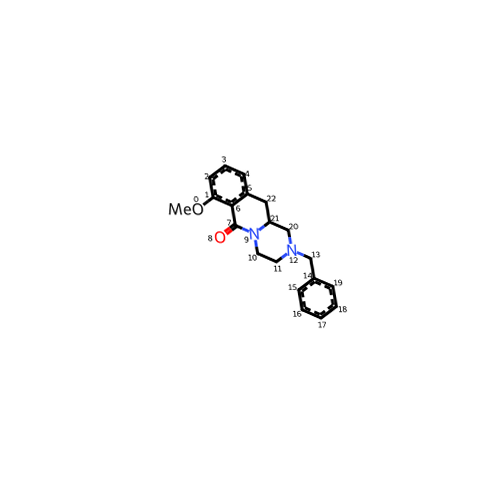 COc1cccc2c1C(=O)N1CCN(Cc3ccccc3)CC1C2